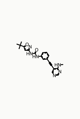 CNc1ncncc1C#Cc1cccc(NC(=O)Nc2cc(C(C)(C)C)on2)c1